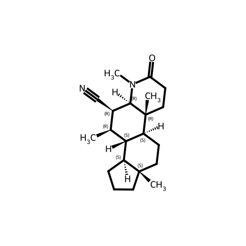 C[C@H]1[C@@H](C#N)[C@H]2N(C)C(=O)CC[C@]2(C)[C@H]2CC[C@]3(C)CCC[C@H]3[C@H]12